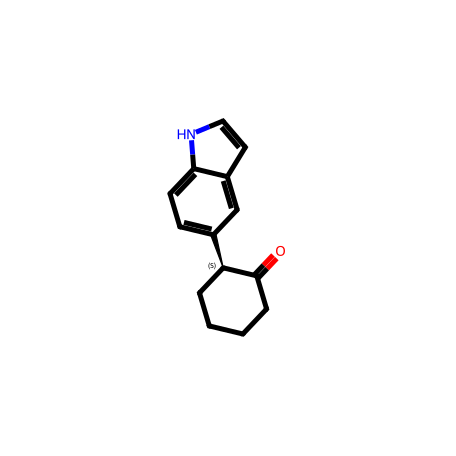 O=C1CCCC[C@H]1c1ccc2[nH]ccc2c1